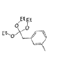 CCOC(Cc1cccc(C)c1)(OCC)OCC